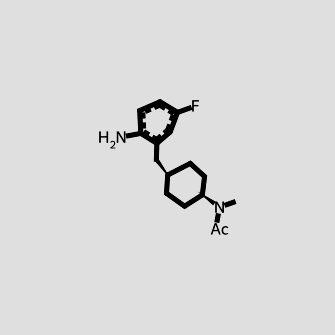 CC(=O)N(C)[C@H]1CC[C@@H](Cc2cc(F)ccc2N)CC1